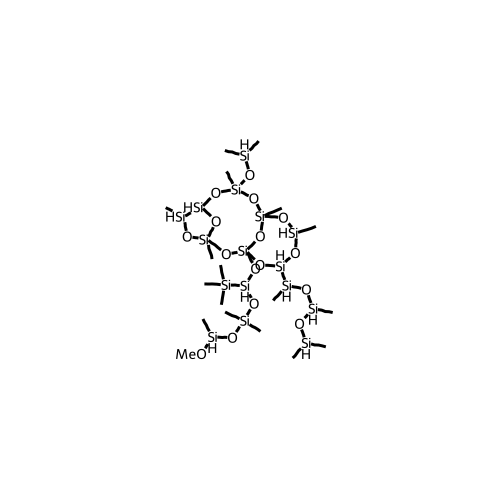 CO[SiH](C)O[Si](C)(C)O[SiH](O[Si]12O[SiH]([SiH](C)O[SiH](C)O[SiH](C)C)O[SiH](C)O[Si](C)(O[Si](C)(O[SiH](C)C)O[SiH]3O[Si](C)(O[SiH]3C)O1)O2)[Si](C)(C)C